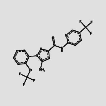 Nc1cc(C(=O)Nc2ccc(C(F)(F)F)cn2)nn1-c1ccccc1OC(F)(F)F